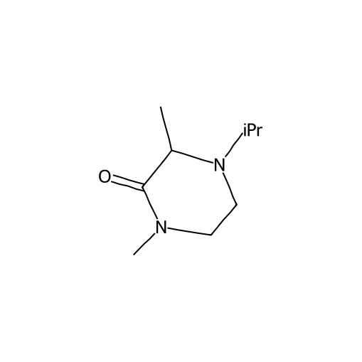 CC(C)N1CCN(C)C(=O)C1C